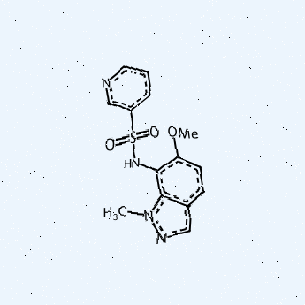 COc1ccc2cnn(C)c2c1NS(=O)(=O)c1cccnc1